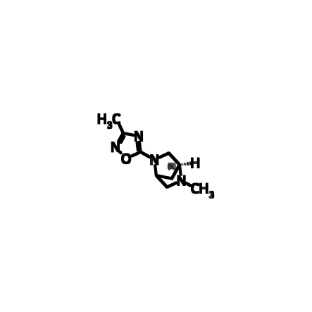 Cc1noc(N2C[C@@H]3CC2CN3C)n1